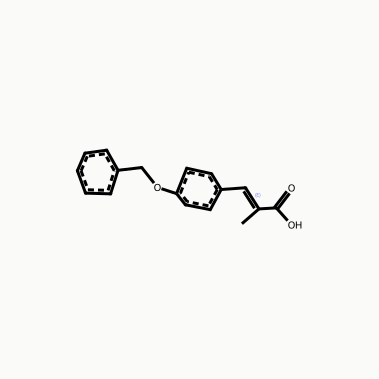 C/C(=C\c1ccc(OCc2ccccc2)cc1)C(=O)O